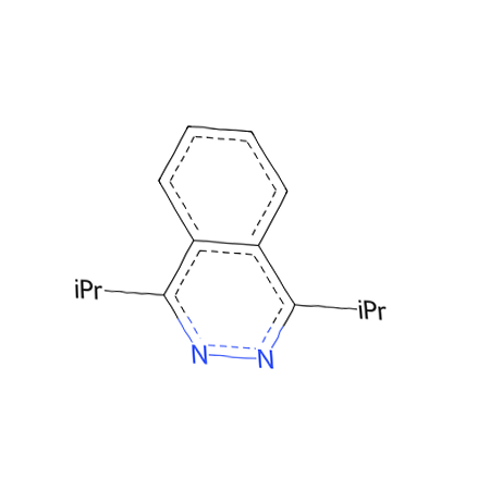 CC(C)c1nnc(C(C)C)c2ccccc12